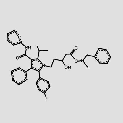 CC(C)c1c(C(=O)Nc2ccccc2)c(-c2ccccc2)c(-c2ccc(F)cc2)n1CCC(O)CC(=O)ON(C)Cc1ccccc1